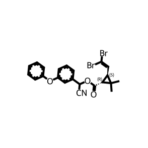 CC1(C)[C@H](C=C(Br)Br)[C@H]1C(=O)OC(C#N)c1cccc(Oc2ccccc2)c1